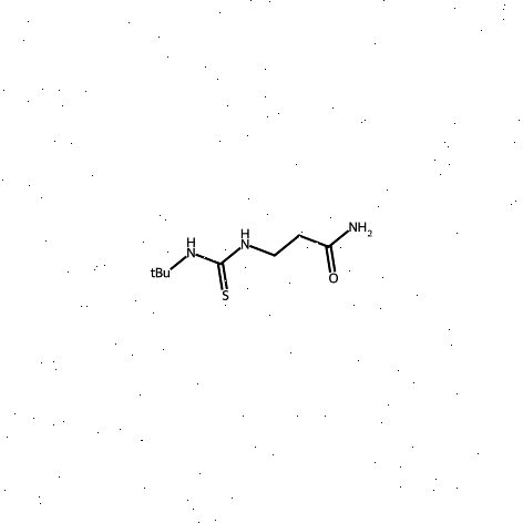 CC(C)(C)NC(=S)NCCC(N)=O